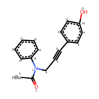 CCCCC(=O)N(CC#Cc1ccc(O)cc1)c1ccccc1